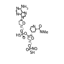 CNC(=O)c1cc([C@@H]2O[C@H](COP(=O)(S)N=O)C[C@H]2OP(=O)(S)OC[C@@H]2CC[C@H](n3cnc4c(N)ncnc43)O2)ccn1